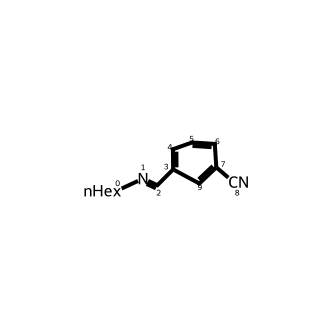 CCCCCCN=Cc1cccc(C#N)c1